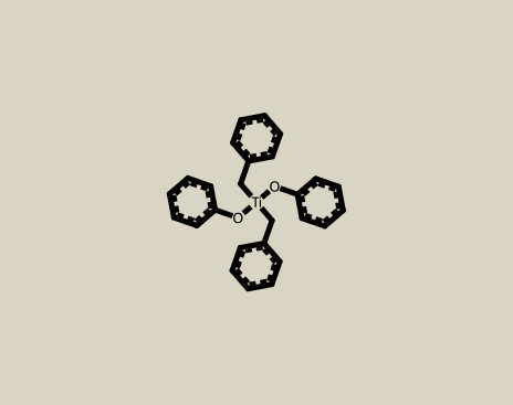 c1ccc([CH2][Ti]([CH2]c2ccccc2)([O]c2ccccc2)[O]c2ccccc2)cc1